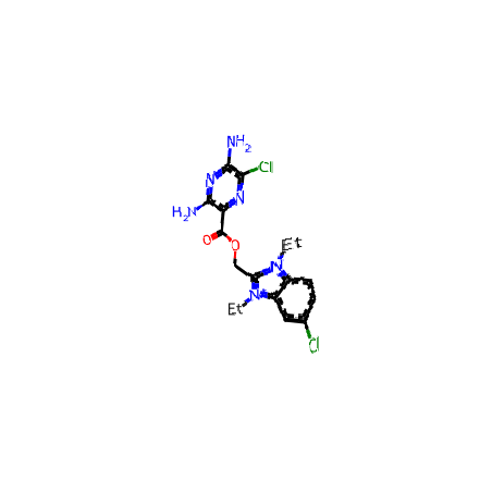 CCn1c(COC(=O)c2nc(Cl)c(N)nc2N)[n+](CC)c2cc(Cl)ccc21